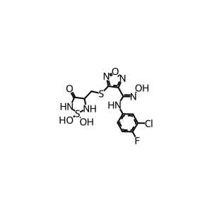 O=C1NS(O)(O)NC1CSc1nonc1C(=NO)Nc1ccc(F)c(Cl)c1